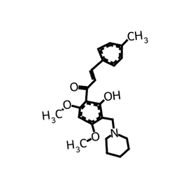 COc1cc(OC)c(C(=O)C=Cc2ccc(C)cc2)c(O)c1CN1CCCCC1